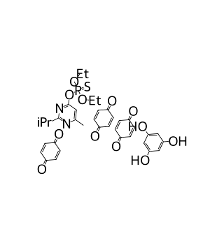 CCOP(=S)(OCC)Oc1cc(C)nc(C(C)C)n1.O=C1C=CC(=O)C=C1.O=C1C=CC(=O)C=C1.O=C1C=CC(=O)C=C1.Oc1cc(O)cc(O)c1